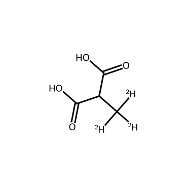 [2H]C([2H])([2H])C(C(=O)O)C(=O)O